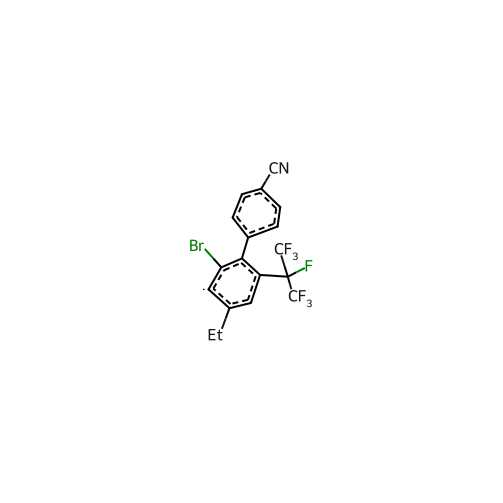 CCc1[c]c(Br)c(-c2ccc(C#N)cc2)c(C(F)(C(F)(F)F)C(F)(F)F)c1